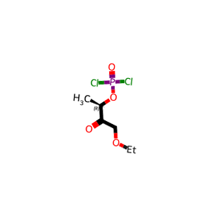 CCOCC(=O)[C@@H](C)OP(=O)(Cl)Cl